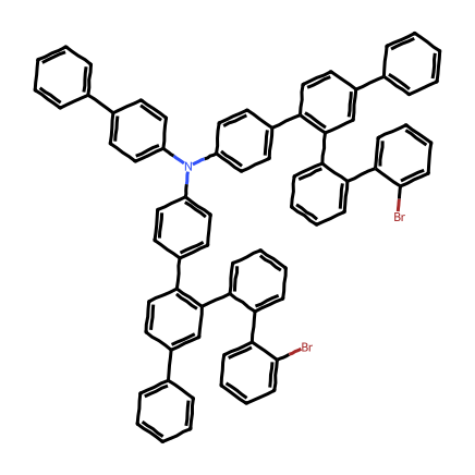 Brc1ccccc1-c1ccccc1-c1cc(-c2ccccc2)ccc1-c1ccc(N(c2ccc(-c3ccccc3)cc2)c2ccc(-c3ccc(-c4ccccc4)cc3-c3ccccc3-c3ccccc3Br)cc2)cc1